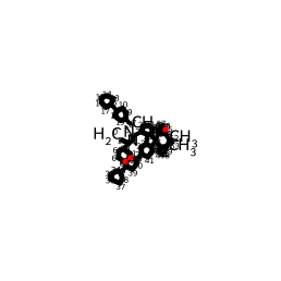 C=C=C(/N=C(\N=C(/C)c1ccc(-c2ccccc2)cc1)c1cccc2c1-c1cc(-c3ccc(-c4cc#ccc4)cc3)ccc1C21c2ccccc2C(C)(C)c2ccccc21)c1ccccc1